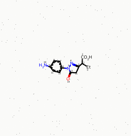 CCC(C(=O)O)C1=NN(c2ccc(N)cc2)C(=O)C1